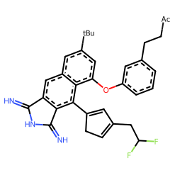 CC(=O)CCc1cccc(Oc2cc(C(C)(C)C)cc3cc4c(c(C5=CC(CC(F)F)=CC5)c23)C(=N)NC4=N)c1